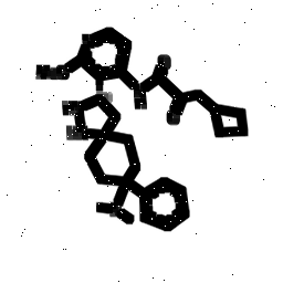 COc1nccc(NC(=O)C(=O)CC2CCC2)c1[C@@H]1CC2(CCC(c3ccccc3)(N(C)C)CC2)NN1